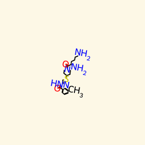 Cc1cccc2c(=O)[nH]c(CSC3CCN(C(=O)C(N)CCCCN)CC3)nc12